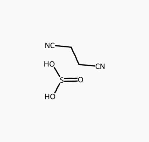 N#CCCC#N.O=S(O)O